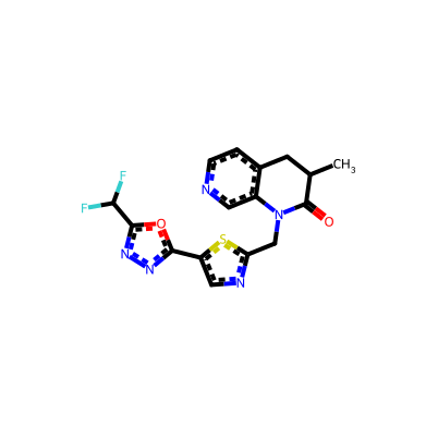 CC1Cc2ccncc2N(Cc2ncc(-c3nnc(C(F)F)o3)s2)C1=O